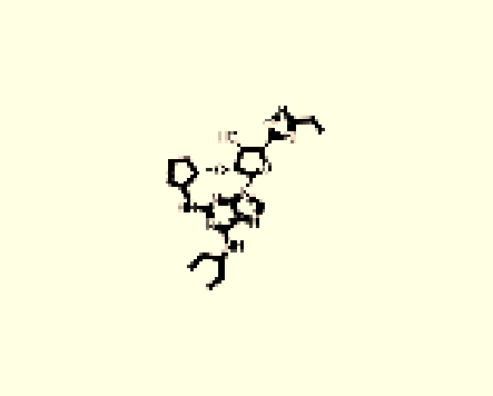 CCc1noc([C@H]2O[C@@H](n3cnc4c(NC(CC)CC)nc(NC5CCCC5)nc43)[C@H](O)[C@@H]2O)n1